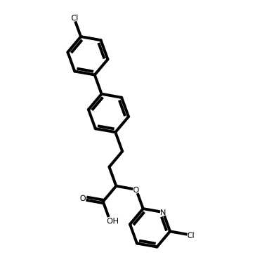 O=C(O)C(CCc1ccc(-c2ccc(Cl)cc2)cc1)Oc1cccc(Cl)n1